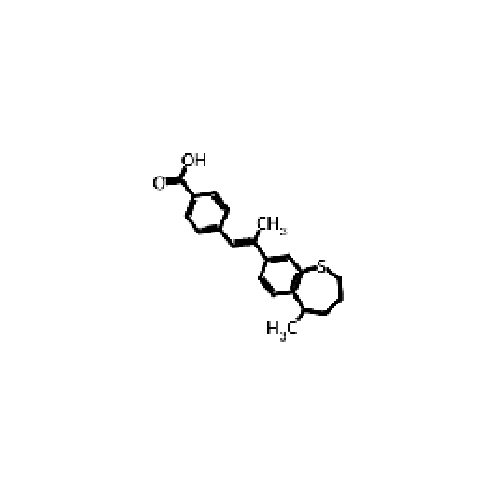 C/C(=C\c1ccc(C(=O)O)cc1)c1ccc2c(c1)SCCCC2C